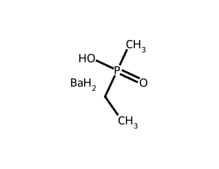 CCP(C)(=O)O.[BaH2]